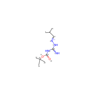 CC(C)/C=N/NC(=N)NC(=O)OC(C)(C)C